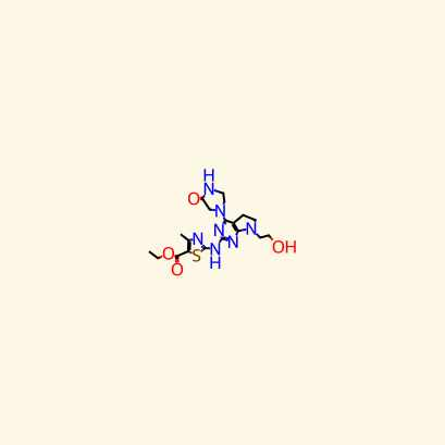 CCOC(=O)c1sc(Nc2nc3c(c(N4CCNC(=O)C4)n2)CCN3CCO)nc1C